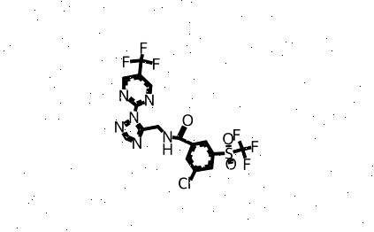 O=C(NCc1ncnn1-c1ncc(C(F)(F)F)cn1)c1cc(Cl)cc(S(=O)(=O)C(F)(F)F)c1